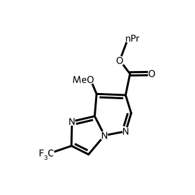 CCCOC(=O)c1cnn2cc(C(F)(F)F)nc2c1OC